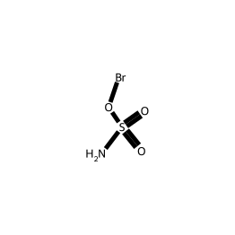 NS(=O)(=O)OBr